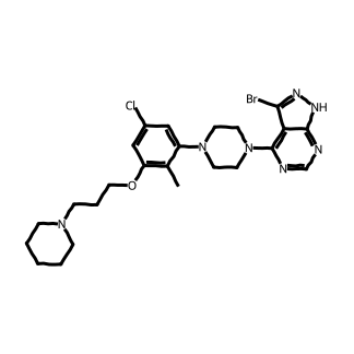 Cc1c(OCCCN2CCCCC2)cc(Cl)cc1N1CCN(c2ncnc3[nH]nc(Br)c23)CC1